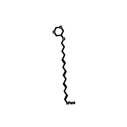 CCCCCC=CCC=CCC=CCC=CCCCCOC1COCOC1